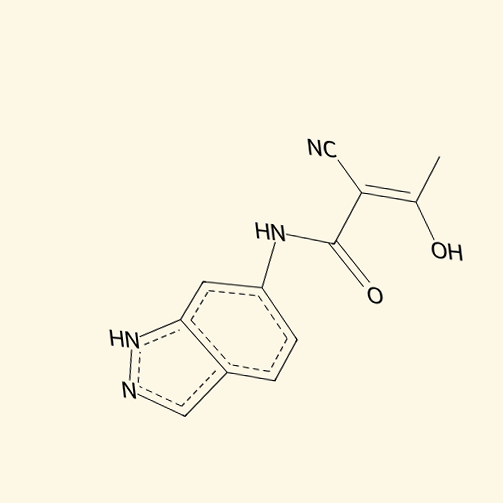 C/C(O)=C(\C#N)C(=O)Nc1ccc2cn[nH]c2c1